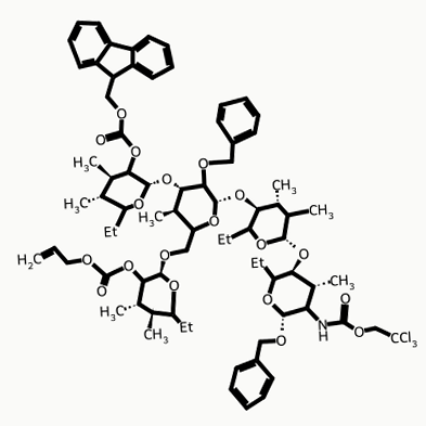 C=CCOC(=O)OC1[C@@H](OCC2O[C@@H](O[C@@H]3C(CC)O[C@@H](O[C@@H]4C(CC)O[C@@H](OCc5ccccc5)C(NC(=O)OCC(Cl)(Cl)Cl)[C@H]4C)C(C)[C@H]3C)C(OCc3ccccc3)[C@@H](O[C@@H]3OC(CC)[C@H](C)[C@@H](C)C3OC(=O)OCC3c4ccccc4-c4ccccc43)[C@@H]2C)OC(CC)[C@@H](C)[C@@H]1C